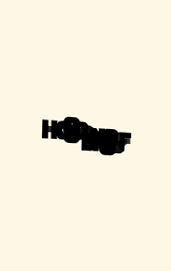 O=C(O)Oc1cc2c(Br)c(N3CCN(S(=O)(=O)c4cccc(F)c4)CC3)ccc2o1